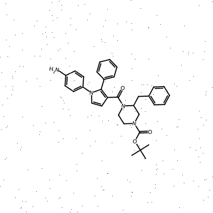 CC(C)(C)OC(=O)N1CCN(C(=O)c2ccn(-c3ccc(N)cc3)c2-c2ccccc2)C(Cc2ccccc2)C1